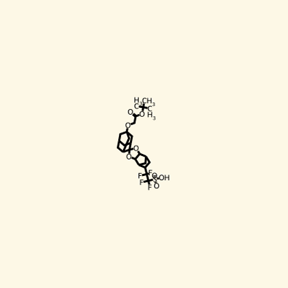 CC(C)(C)OC(=O)COC12CC3CC(C1)C1(OC4C5CC(C4O1)C(C(F)(F)C(F)(F)S(=O)(=O)O)C5)C(C3)C2